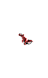 C=C/C=C\c1c(C)oc2cc(N(c3ccccc3)c3ccc4c5c(c6ccccc6c4c3)-c3ccc4cc(N(c6ccccc6)c6ccc7c(c6)oc6ccccc67)ccc4c3C53c4ccccc4-c4ccccc43)ccc12